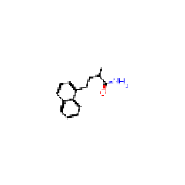 CC(CCc1cccc2ccccc12)C(N)=O